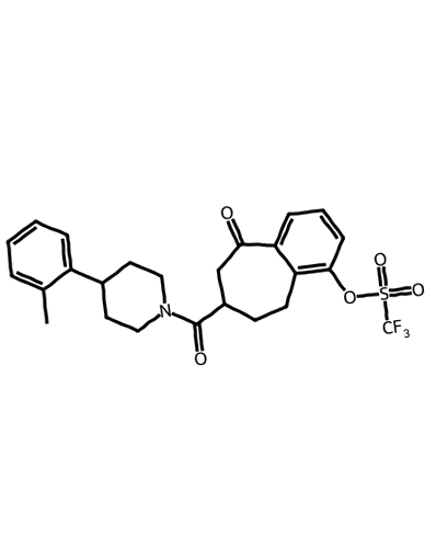 Cc1ccccc1C1CCN(C(=O)C2CCc3c(OS(=O)(=O)C(F)(F)F)cccc3C(=O)C2)CC1